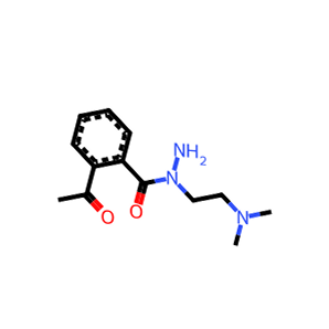 CC(=O)c1ccccc1C(=O)N(N)CCN(C)C